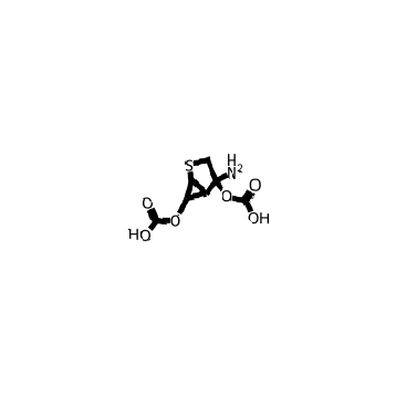 NC1(OC(=O)O)CSC2C(OC(=O)O)C21